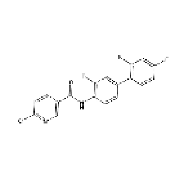 O=C(Nc1ccc(-c2ccc(F)cc2F)cc1F)c1ccc(Cl)nc1